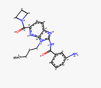 COCCCn1c(NC(=O)c2cccc(N)c2)nc2ccc(C(=O)N3CCC3)nc21